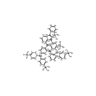 CC(C)(C)C1=CCC(N(c2ccc(C(C)(C)C)cc2)c2ccc3c(c2)N(c2cccc4c2oc2cc(C(C)(C)C)ccc24)c2cc(C(C)(C)C)cc4c2B3c2cccc3c5c(n-4c23)C(C)(C)c2ccccc2-5)C=C1